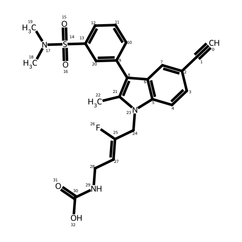 C#Cc1ccc2c(c1)c(-c1cccc(S(=O)(=O)N(C)C)c1)c(C)n2CC(F)=CCNC(=O)O